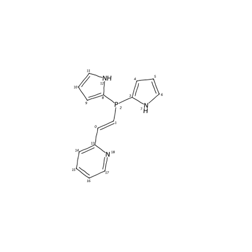 C(=CP(c1ccc[nH]1)c1ccc[nH]1)c1ccccn1